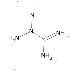 [N]N(N)C(=N)N